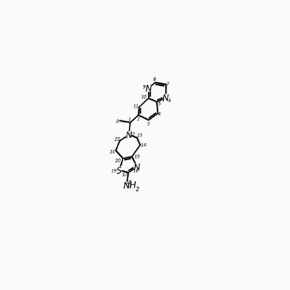 CC(c1ccc2nccnc2c1)N1CCc2nc(N)sc2CC1